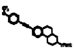 CCCCCC1CCC2c3ccc(C#Cc4ccc(OC(F)(F)F)cc4)cc3CCC2C1